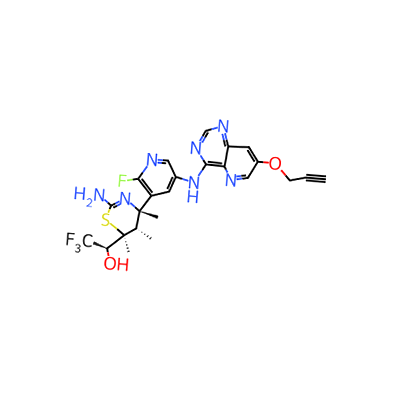 C#CCOc1cnc2c(Nc3cnc(F)c([C@@]4(C)N=C(N)S[C@](C)([C@@H](O)C(F)(F)F)[C@H]4C)c3)ncnc2c1